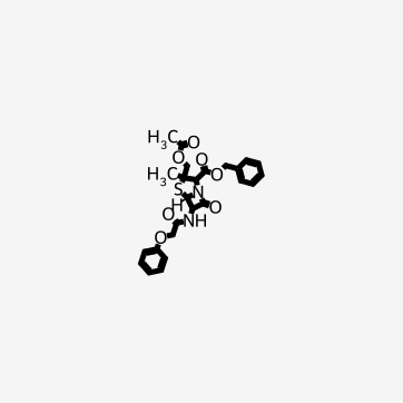 CC(=O)OCC1(C)S[C@@H]2C(NC(=O)COc3ccccc3)C(=O)N2C1C(=O)OCc1ccccc1